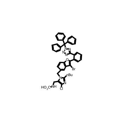 CCCCc1nc(Cl)c(CNC(=O)O)n1Cc1ccc2oc(-c3ccccc3-c3nnn(C(c4ccccc4)(c4ccccc4)c4ccccc4)n3)c(Br)c2c1